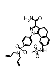 C=CCN(CC=C)S(=O)(=O)c1ccc(-n2nc(C(N)=O)c3c2-c2cc(NS(C)(=O)=O)ccc2CC3)cc1